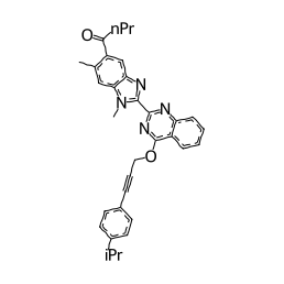 CCCC(=O)c1cc2nc(-c3nc(OCC#Cc4ccc(C(C)C)cc4)c4ccccc4n3)n(C)c2cc1C